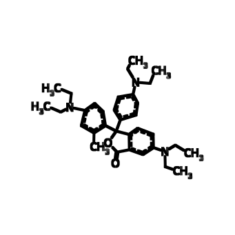 CCN(CC)c1ccc(C2(c3ccc(N(CC)CC)cc3C)OC(=O)c3cc(N(CC)CC)ccc32)cc1